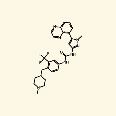 CN1CCN(Cc2ccc(NC(=O)Nc3cc(-c4cccc5nccnc45)n(C)n3)cc2C(F)(F)F)CC1